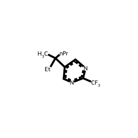 CCCC(C)(CC)c1cnc(C(F)(F)F)nc1